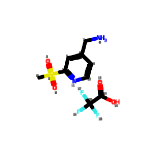 CS(=O)(=O)c1cc(CN)ccn1.O=C(O)C(F)(F)F